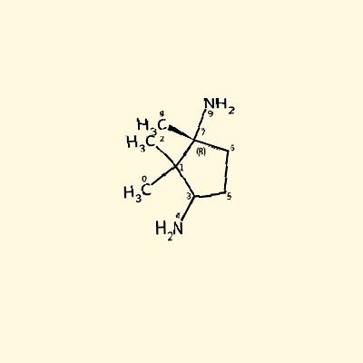 CC1(C)C(N)CC[C@@]1(C)N